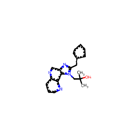 CC(C)(O)Cn1c(Cc2ccccc2)nc2cnc3cccnc3c21